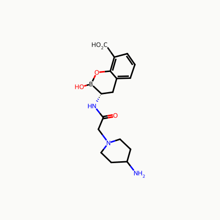 NC1CCN(CC(=O)N[C@H]2Cc3cccc(C(=O)O)c3OB2O)CC1